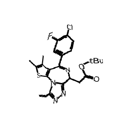 Cc1sc2c(c1C)C(c1ccc(Cl)c(F)c1)=NC(CC(=O)OC(C)(C)C)c1nnc(C)n1-2